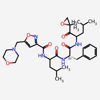 CC(C)CC(NC(=O)c1cc(CN2CCOCC2)on1)C(=O)N[C@@H](Cc1ccccc1)C(=O)NC(CC(C)C)C(=O)C1(C)CO1